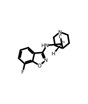 Fc1cccc2c(N[C@@H]3CN4CCC3CC4)noc12